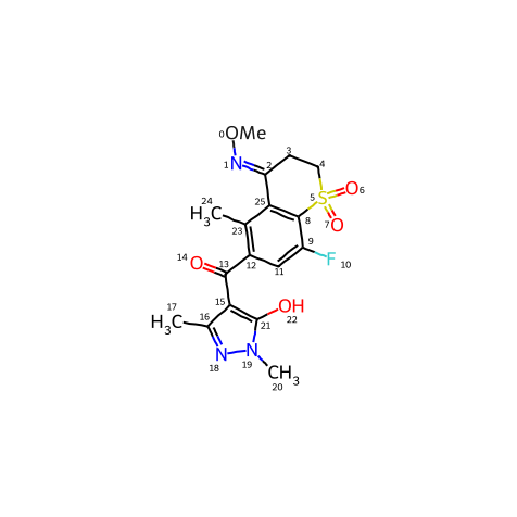 CON=C1CCS(=O)(=O)c2c(F)cc(C(=O)c3c(C)nn(C)c3O)c(C)c21